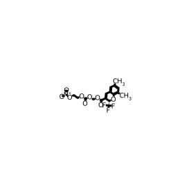 Cc1cc(C)c2c(c1)C=C(C(=O)OCOC(=O)OCCO[N+](=O)[O-])[C@@H](C(F)(F)F)O2